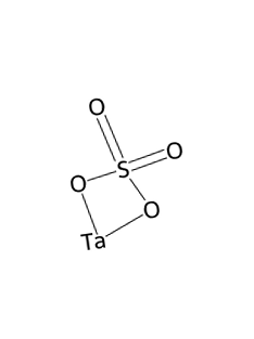 O=S1(=O)[O][Ta][O]1